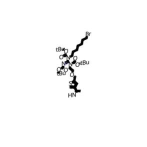 CC(=N)c1csc(COCCN(C(=O)OC(C)(C)C)/C(=N\C(=O)OC(C)(C)C)N(CCCCCCCBr)C(=O)OC(C)(C)C)c1